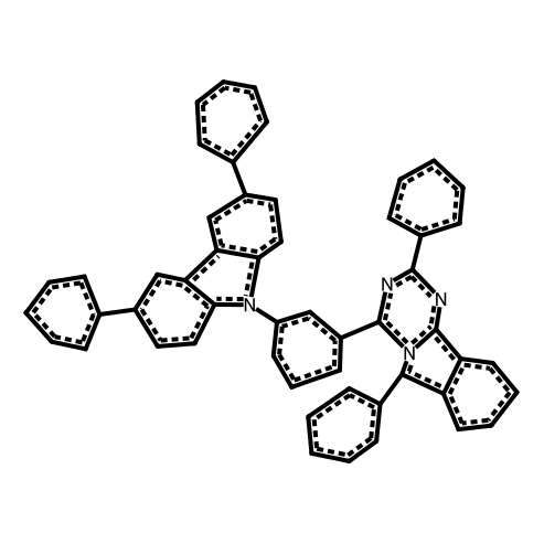 c1ccc(-c2ccc3c(c2)c2cc(-c4ccccc4)ccc2n3-c2cccc(-c3nc(-c4ccccc4)nc4c5ccccc5c(-c5ccccc5)n34)c2)cc1